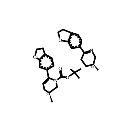 C[C@H]1CC=C(c2ccc3c(c2)OCC3)N(C(=O)OC(C)(C)C)C1.C[C@H]1CCC(c2ccc3c(c2)OCC3)=NC1